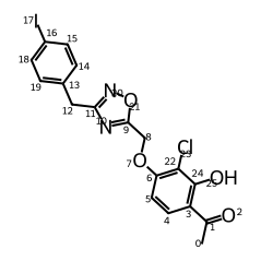 CC(=O)c1ccc(OCc2nc(Cc3ccc(I)cc3)no2)c(Cl)c1O